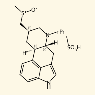 CCCN1C[C@H](C[S+](C)[O-])C[C@@H]2c3cccc4[nH]cc(c34)C[C@H]21.CS(=O)(=O)O